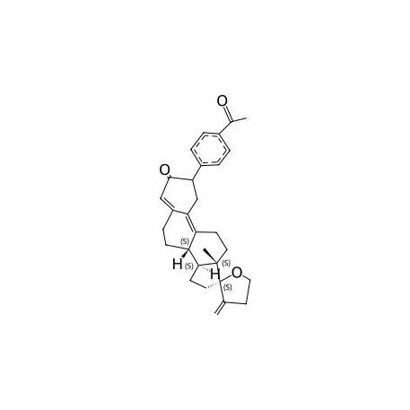 C=C1CCO[C@@]12CC[C@H]1[C@@H]3CCC4=CC(=O)C(c5ccc(C(C)=O)cc5)CC4=C3CC[C@@]12C